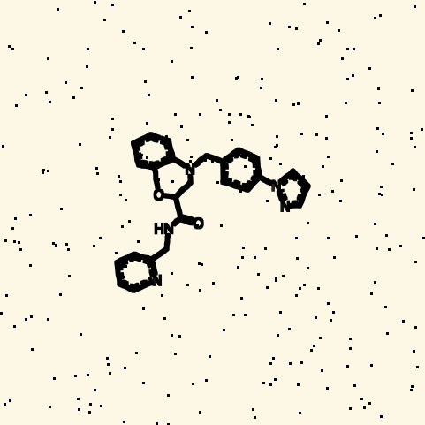 O=C(NCc1ccccn1)C1CN(Cc2ccc(-n3cccn3)cc2)c2ccccc2O1